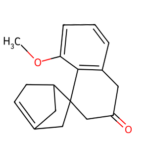 COc1cccc2c1C1(CC(=O)C2)CC2=CCC1C2